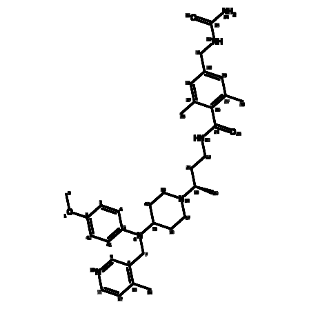 COc1ccc(N(Cc2cnccc2C)C2CCN([C@H](C)CCNC(=O)c3c(C)cc(CNC(N)=O)cc3C)CC2)cc1